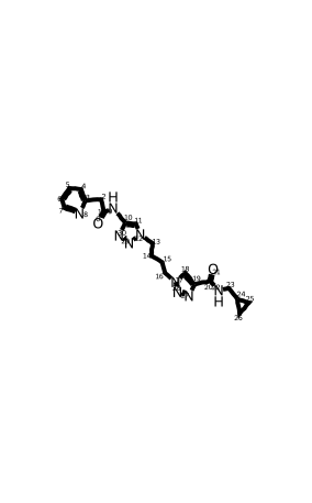 O=C(Cc1ccccn1)Nc1cn(CCCCn2cc(C(=O)NCC3CC3)nn2)nn1